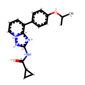 CC(C#N)Oc1ccc(-c2cccn3nc(NC(=O)C4CC4)nc23)cc1